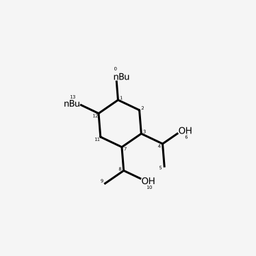 CCCCC1CC(C(C)O)C(C(C)O)CC1CCCC